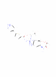 CC(C)(O)Cn1c(NC(=O)c2ccc(-c3ccncc3)s2)nc2cc3c(cc21)OC(C)(C)C(=O)N3